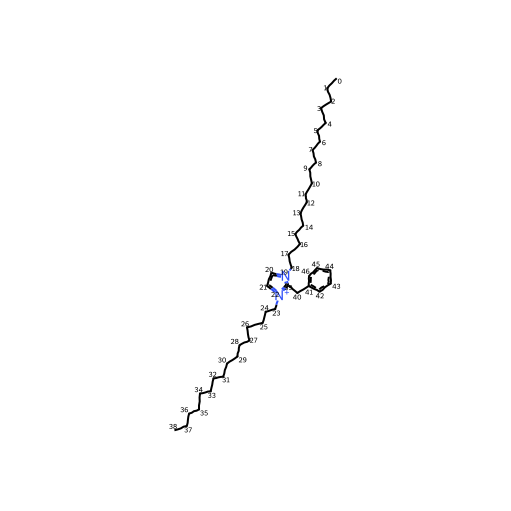 CCCCCCCCCCCCCCCCCCCn1cc[n+](CCCCCCCCCCCCCCCC)c1Cc1ccccc1